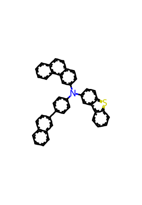 c1ccc2cc(-c3ccc(N(c4ccc5ccc6ccccc6c5c4)c4ccc5sc6ccccc6c5c4)cc3)ccc2c1